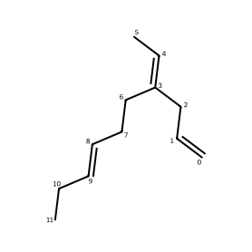 C=CC/C(=C/C)CC/C=C/CC